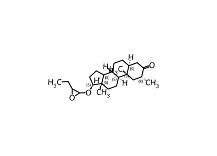 CCC1OC1O[C@H]1CC[C@H]2[C@@H]3CC[C@H]4CC(=O)[C@H](C)C[C@]4(C)[C@H]3CC[C@]12C